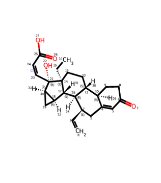 C=C[C@@H]1CC2=CC(=O)CC[C@@H]2[C@H]2CC[C@@]3(CC)[C@@H]([C@H]4C[C@H]4[C@@]3(O)/C=C\C(=O)O)[C@@H]21